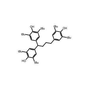 CC(C)(C)c1cc(CCCC(c2cc(C(C)(C)C)c(O)c(C(C)(C)C)c2)c2cc(C(C)(C)C)c(O)c(C(C)(C)C)c2)cc(C(C)(C)C)c1O